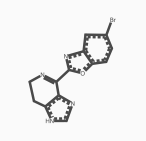 Brc1ccc2oc(C3=NCCc4[nH]cnc43)nc2c1